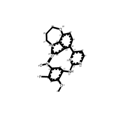 COc1cc(F)c([N+](=O)[O-])cc1Nc1nccc(-c2ccc3c4c2ccn4CCCO3)n1